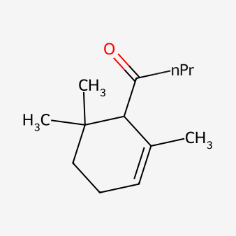 CCCC(=O)C1C(C)=CCCC1(C)C